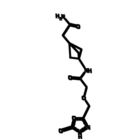 NC(=O)CC12CC(NC(=O)COCc3n[nH]c(=O)o3)(C1)C2